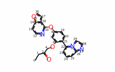 CCC(=O)COc1cc(Oc2nccc3occc23)ccc1-c1cccc2nccn12